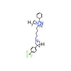 Cn1c(CCCCCN2C[C@@H]3C[C@]3(c3ccc(C(F)(F)F)cc3)C2)nnc1C1C=CC=CC1